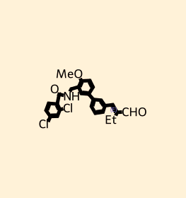 CC/C(C=O)=C\c1cccc(-c2ccc(OC)c(CNC(=O)c3ccc(Cl)cc3Cl)c2)c1